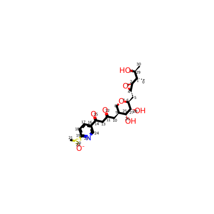 C[C@H]([C@@H]1O[C@H]1C[C@@H]1OC[C@H](CC(=O)CC(=O)c2ccc([S+](C)[O-])nc2)[C@@H](O)[C@H]1O)[C@H](C)O